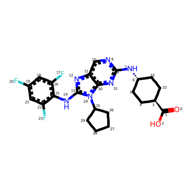 O=C(O)[C@H]1CC[C@H](Nc2ncc3nc(Nc4c(F)cc(F)cc4F)n(C4CCCC4)c3n2)CC1